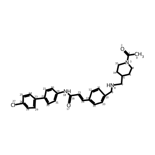 CC(=O)N1CCC(CNCc2ccc(C=CC(=O)Nc3ccc(-c4ccc(Cl)cc4)cc3)cc2)CC1